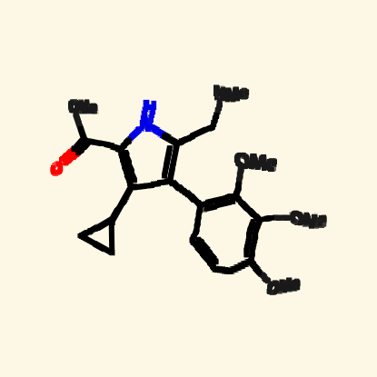 CNCc1[nH]c(C(=O)OC)c(C2CC2)c1-c1ccc(OC)c(OC)c1OC